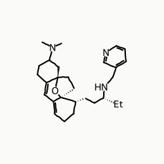 CC[C@H](CC[C@@H]1CCC=C2C=C3CCC(N(C)C)C[C@]34CC[C@@]21O4)NCc1cccnc1